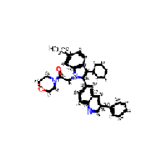 O=C(O)c1ccc2c(C3CCCCC3)c(-c3ccc4ncc(-c5ccccc5)cc4c3)n(CC(=O)N3CCOCC3)c2c1